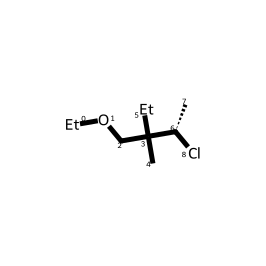 CCOCC(C)(CC)[C@H](C)Cl